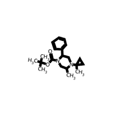 CC1CN(C(=O)OC(C)(C)C)C(c2ccccc2)CN1C1(C)CC1